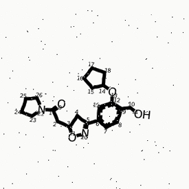 O=C(CC1CC(c2ccc(CO)c(OC3CCCC3)c2)=NO1)N1CCCC1